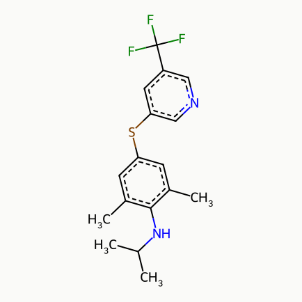 Cc1cc(Sc2cncc(C(F)(F)F)c2)cc(C)c1NC(C)C